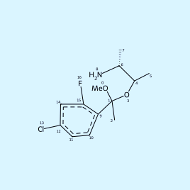 COC(C)(OC(C)[C@@H](C)N)c1ccc(Cl)cc1F